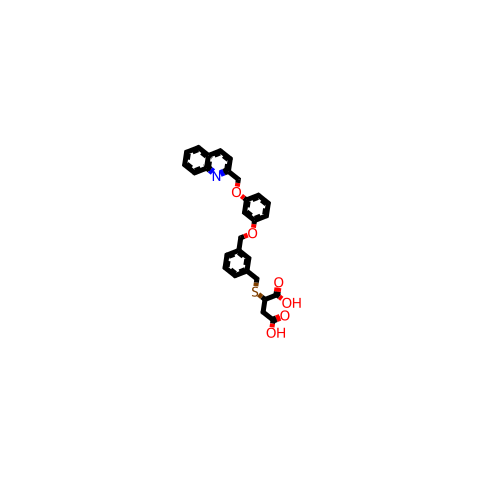 O=C(O)CC(SCc1cccc(COc2cccc(OCc3ccc4ccccc4n3)c2)c1)C(=O)O